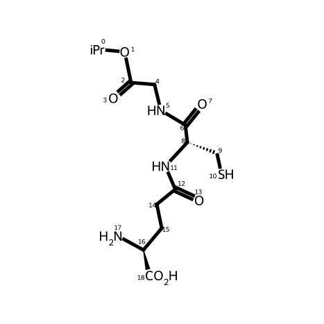 CC(C)OC(=O)CNC(=O)[C@H](CS)NC(=O)CC[C@H](N)C(=O)O